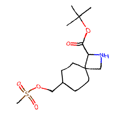 CC(C)(C)OC(=O)C1NCC12CCC(COS(C)(=O)=O)CC2